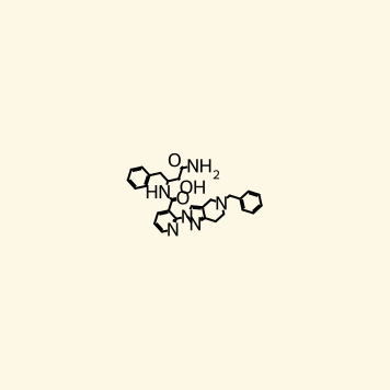 NC(=O)C(O)C(Cc1ccccc1)NC(=O)c1cccnc1-n1cc2c(n1)CCN(Cc1ccccc1)C2